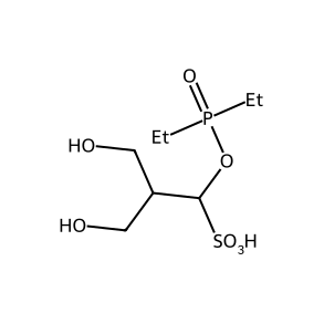 CCP(=O)(CC)OC(C(CO)CO)S(=O)(=O)O